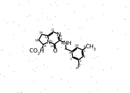 Cc1cc(F)cc(CNc2ncc3n(c2=O)[C@@H](C(=O)O)CC3)c1